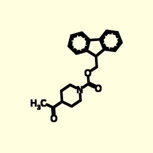 CC(=O)C1CCN(C(=O)OCC2c3ccccc3-c3ccccc32)CC1